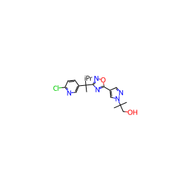 CC(C)C(C)(c1ccc(Cl)nc1)c1noc(-c2cnn(C(C)(C)CO)c2)n1